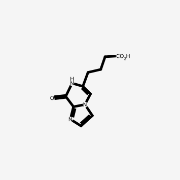 O=C(O)CCCc1cn2ccnc2c(=O)[nH]1